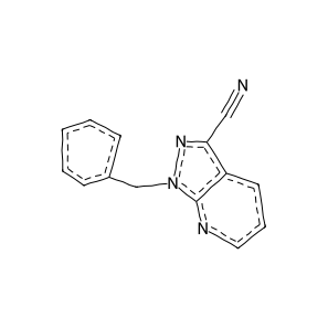 N#Cc1nn(Cc2ccccc2)c2ncccc12